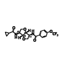 O=C(N[C@H]1CO[C@H]2[C@@H]1OC[C@@H]2NC(=O)C1CC1)c1ccc(OC(F)(F)F)cc1